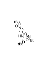 CCc1nnc([C@H](COC(C)(C)C)NC(=O)C2CCN(C(=O)OC(C)(C)C)CC2)o1